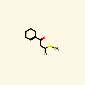 CSC(C)CC(=O)C1=CCCCC1